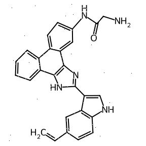 C=Cc1ccc2[nH]cc(-c3nc4c5cc(NC(=O)CN)ccc5c5ccccc5c4[nH]3)c2c1